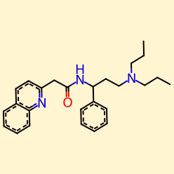 CCCN(CCC)CCC(NC(=O)Cc1ccc2ccccc2n1)c1ccccc1